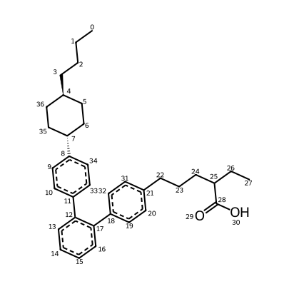 CCCC[C@H]1CC[C@H](c2ccc(-c3ccccc3-c3ccc(CCCC(CC)C(=O)O)cc3)cc2)CC1